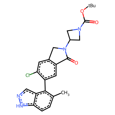 Cc1ccc2[nH]ncc2c1-c1cc2c(cc1Cl)CN(C1CN(C(=O)OC(C)(C)C)C1)C2=O